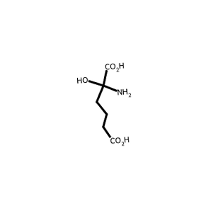 NC(O)(CCCC(=O)O)C(=O)O